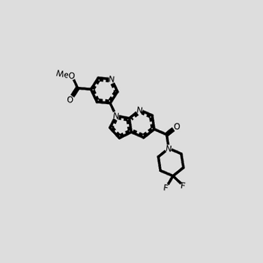 COC(=O)c1cncc(-n2ccc3cc(C(=O)N4CCC(F)(F)CC4)cnc32)c1